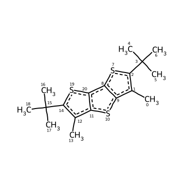 Cc1c(C(C)(C)C)sc2c1sc1c(C)c(C(C)(C)C)sc12